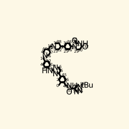 Cc1cc(-c2ccnc(Nc3ccc(CN4CCC(CN5CCC(c6ccc(N7CCC(=O)NC7=O)cc6)CC5)CC4)cc3)n2)ccc1CNC(=O)c1cn(C(C)(C)C)nn1